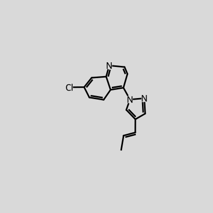 CC=Cc1cnn(-c2ccnc3cc(Cl)ccc23)c1